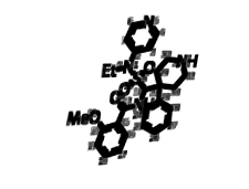 CCN(c1ccncc1)S(=O)(=O)C(NC(=O)c1ccccc1OC)C1(c2ccccc2)CCNCC1